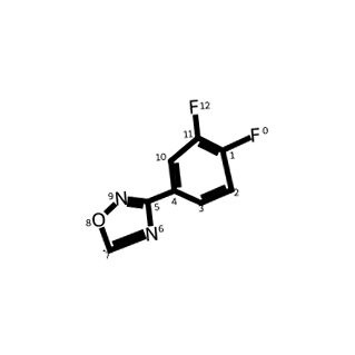 Fc1ccc(-c2n[c]on2)cc1F